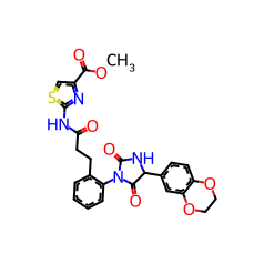 COC(=O)c1csc(NC(=O)CCc2ccccc2N2C(=O)NC(c3ccc4c(c3)OCCO4)C2=O)n1